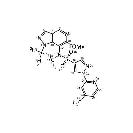 [2H]C([2H])([2H])n1ncc2cnc(OC)c(N(C)S(=O)(=O)c3cnn(-c4cc(C(F)(F)F)ccn4)c3)c21